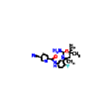 CC1(C)C[C@@](C)(c2cc(NC(=O)c3ccc(C#N)cn3)ccc2F)N=C(N)O1